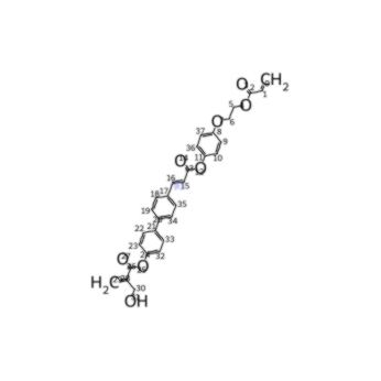 C=CC(=O)OCCOc1ccc(OC(=O)/C=C/c2ccc(-c3ccc(OC(=O)C(=C)CO)cc3)cc2)cc1